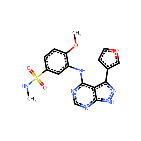 CNS(=O)(=O)c1ccc(OC)c(Nc2ncnc3[nH]nc(-c4ccoc4)c23)c1